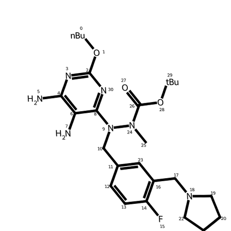 CCCCOc1nc(N)c(N)c(N(Cc2ccc(F)c(CN3CCCC3)c2)N(C)C(=O)OC(C)(C)C)n1